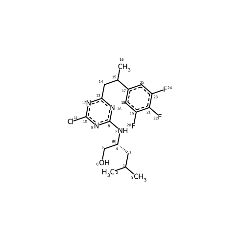 CC(C)C[C@H](CO)Nc1nc(Cl)nc(CC(C)c2cc(F)c(F)c(F)c2)n1